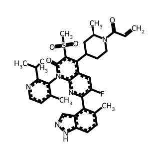 C=CC(=O)N1CCC(c2c(S(C)(=O)=O)c(=O)n(-c3c(C)ccnc3C(C)C)c3nc(-c4c(C)ccc5[nH]ncc45)c(F)cc23)C[C@H]1C